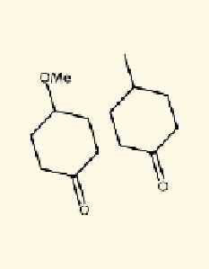 CC1CCC(=O)CC1.COC1CCC(=O)CC1